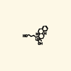 C[C@]12CC[C@@H]3c4ccccc4CC[C@H]3[C@@H]1[C@H](CCCO)CC2O